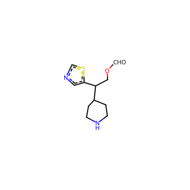 O=COCC(c1cncs1)C1CCNCC1